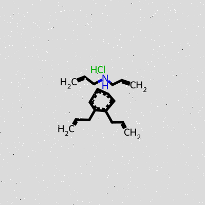 C=CCNCC=C.C=CCc1ccccc1CC=C.Cl